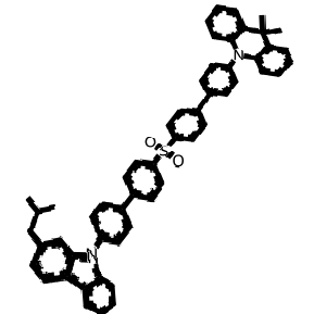 CC(C)Cc1ccc2c3ccccc3n(-c3ccc(-c4ccc(S(=O)(=O)c5ccc(-c6ccc(N7c8ccccc8C(C)(C)c8ccccc87)cc6)cc5)cc4)cc3)c2c1